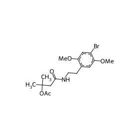 COc1cc(CCNC(=O)CC(C)(C)OC(C)=O)c(OC)cc1Br